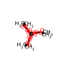 C=C(C)C(=O)OCCOC(=O)Oc1cc(OC(=O)OCCOC(=O)C(=C)C)cc(OC(=O)OCCOC(=O)C(=C)C)c1